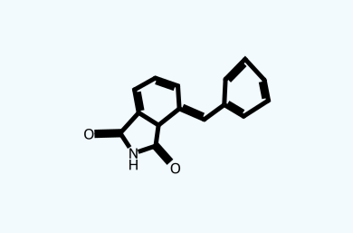 O=C1NC(=O)C2C(=Cc3ccccc3)C=CC=C12